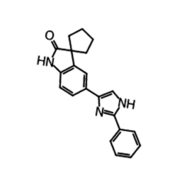 O=C1Nc2ccc(-c3c[nH]c(-c4ccccc4)n3)cc2C12CCCC2